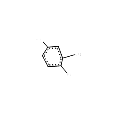 CCc1ccc(C(F)(F)F)cc1C#N